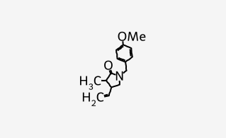 C=CC1CN(Cc2ccc(OC)cc2)C(=O)C1C